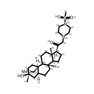 COC[C@]12CC[C@@](C)(O)C[C@@H]1CC[C@H]1[C@@H]3CC[C@H](C(=O)CN4CCN(S(C)(=O)=O)CC4)[C@@]3(C)CC[C@@H]12